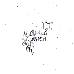 C=C(CC(C)OC1C=CC=CC1)NC(/C=C\C)=C/CC